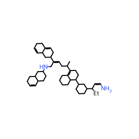 CCC(/C=C\N)C1CCCC(C2CCC(C(C)C/C=C(\CNC3CCC4C=CCCC4C3)C3CC=C4CCC=CC4C3)=C3CCCCC32)C1